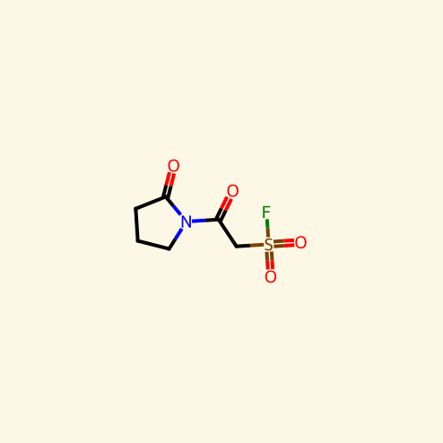 O=C1CCCN1C(=O)CS(=O)(=O)F